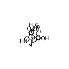 COCCCc1cc(O)cc(CN(C(=O)[C@@H]2CNCC[C@H]2c2ccn(C)c(=O)c2)C2CC2)c1